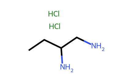 CCC(N)CN.Cl.Cl